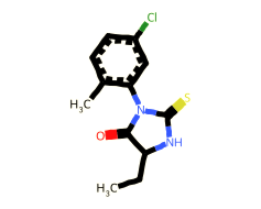 CCC1NC(=S)N(c2cc(Cl)ccc2C)C1=O